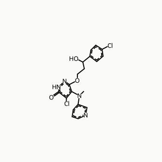 CN(c1cccnc1)c1c(OCCC(O)c2ccc(Cl)cc2)n[nH]c(=O)c1Cl